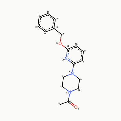 CC(=O)N1CCN(c2cccc(OCc3ccccc3)n2)CC1